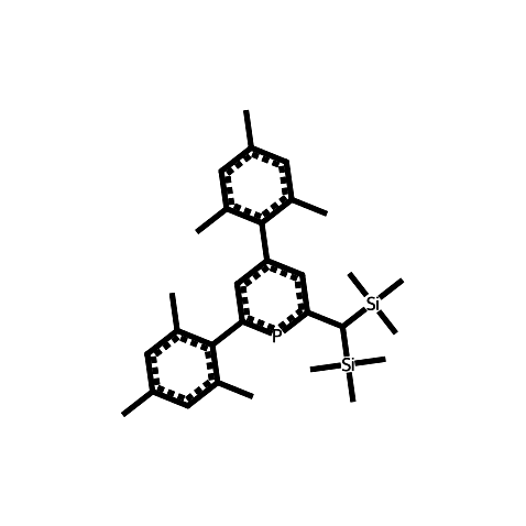 Cc1cc(C)c(-c2cc(-c3c(C)cc(C)cc3C)pc(C([Si](C)(C)C)[Si](C)(C)C)c2)c(C)c1